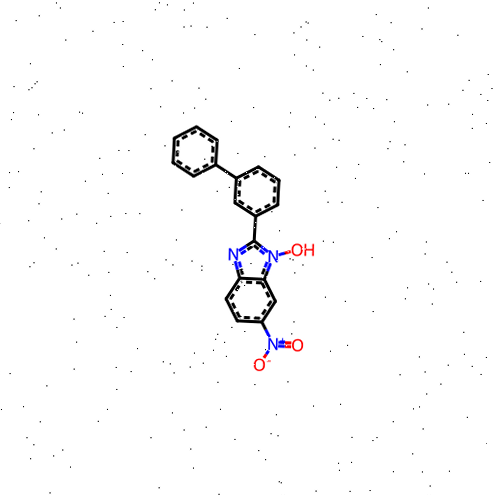 O=[N+]([O-])c1ccc2nc(-c3cccc(-c4ccccc4)c3)n(O)c2c1